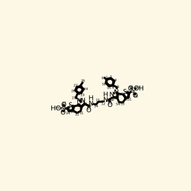 Cc1ccc(Cn2nc(C(=O)NCCCNC(=O)c3nn(Cc4ccc(C)cc4)c4c3CCc3cc(S(=O)(=O)O)sc3-4)c3c2-c2sc(S(=O)(=O)O)cc2CC3)cc1